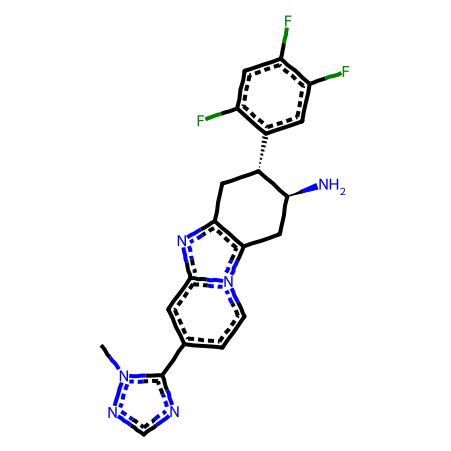 Cn1ncnc1-c1ccn2c3c(nc2c1)C[C@H](c1cc(F)c(F)cc1F)[C@@H](N)C3